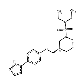 CCN(CC)S(=O)(=O)N1CCC[C@@H](COc2ccc(-c3ccn[nH]3)nc2)C1